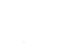 CC(=O)C(=O)C(Cl)c1ccccc1Br